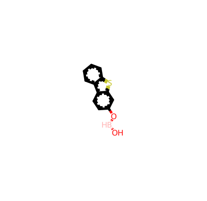 OBOc1ccc2c(c1)sc1ccccc12